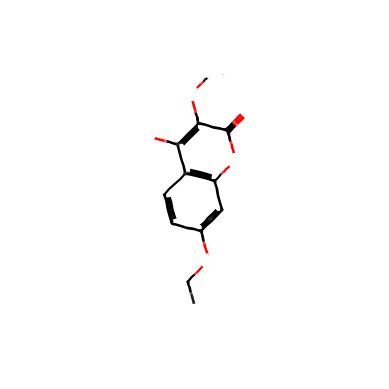 CCCCOc1c(O)c2ccc(OCC(=O)OCC)cc2oc1=O